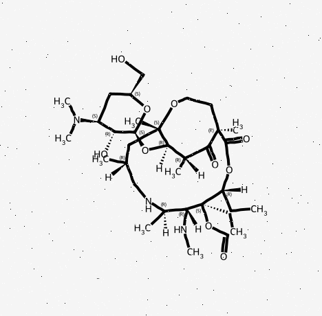 CC[C@H]1OC(=O)[C@]2(C)CCO[C@@](C)(C[C@@H](C)CN[C@H](C)[C@@H](NC)[C@]1(CC)OC=O)[C@H](O[C@@H]1O[C@H](CO)C[C@H](N(C)C)[C@H]1O)[C@@H](C)C2=O